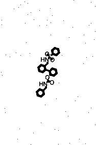 O=C(NCc1ccccc1)Oc1ccccc1-c1ccccc1CNS(=O)(=O)c1ccccc1